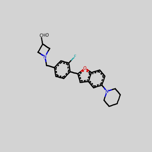 O=CC1CN(Cc2ccc(-c3cc4cc(N5CCCCC5)ccc4o3)c(F)c2)C1